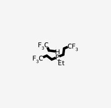 CC[PH](CCC(F)(F)F)(CCC(F)(F)F)CCC(F)(F)F